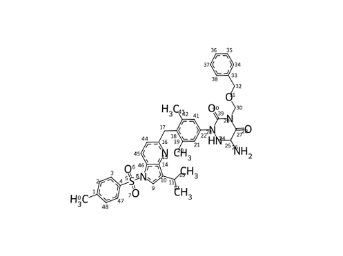 Cc1ccc(S(=O)(=O)n2cc(C(C)C)c3nc(Cc4c(C)cc(N5NC(N)C(=O)N(COCc6ccccc6)C5=O)cc4C)ccc32)cc1